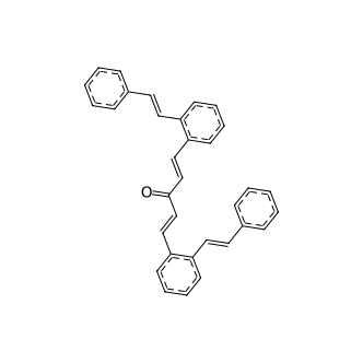 O=C(/C=C/c1ccccc1/C=C/c1ccccc1)/C=C/c1ccccc1/C=C/c1ccccc1